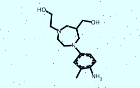 Cc1cc(N2CCN(CCO)CC(CO)C2)ccc1N